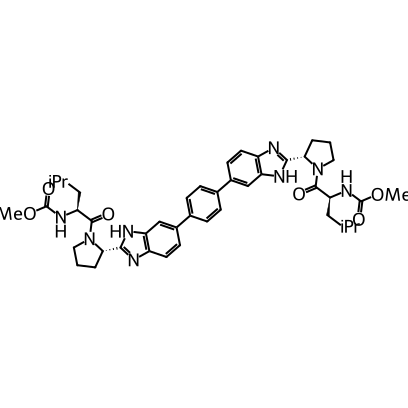 COC(=O)N[C@@H](CC(C)C)C(=O)N1CCC[C@H]1c1nc2ccc(-c3ccc(-c4ccc5nc([C@@H]6CCCN6C(=O)[C@H](CC(C)C)NC(=O)OC)[nH]c5c4)cc3)cc2[nH]1